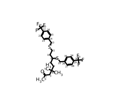 CC(=O)CC(C)(C)CCC(CCSCc1ccc(C(F)(F)F)cc1)SCc1ccc(C(F)(F)F)cc1